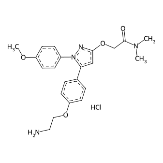 COc1ccc(-n2nc(OCC(=O)N(C)C)cc2-c2ccc(OCCN)cc2)cc1.Cl